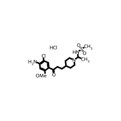 COc1cc(N)c(Cl)cc1C(=O)CCC1CCN(C(C)NS(C)(=O)=O)CC1.Cl